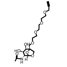 C#CCOCCOCCOCCOC[C@@]12CO[C@@H](O1)[C@H](NC(C)=O)[C@@H](O)[C@H]2O